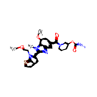 COCCn1c(-c2nc3cc(C(=O)N4CCCC(OC(N)=O)C4)cc(OC)c3n2C)cc2ccsc21